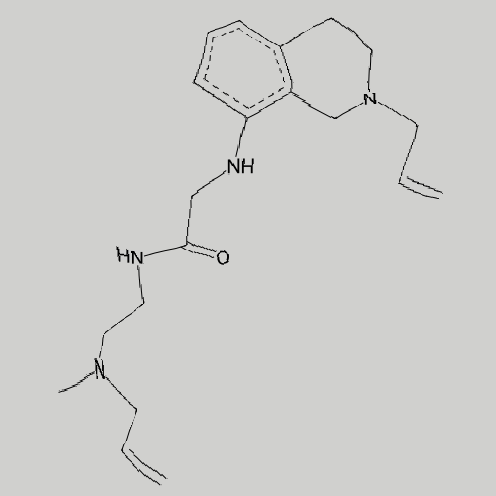 C=CCN(C)CCNC(=O)CNc1cccc2c1CN(CC=C)CC2